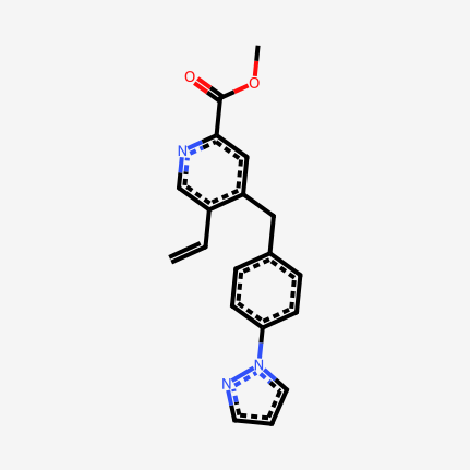 C=Cc1cnc(C(=O)OC)cc1Cc1ccc(-n2cccn2)cc1